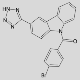 O=C(c1ccc(Br)cc1)n1c2ccccc2c2cc(-c3nn[nH]n3)ccc21